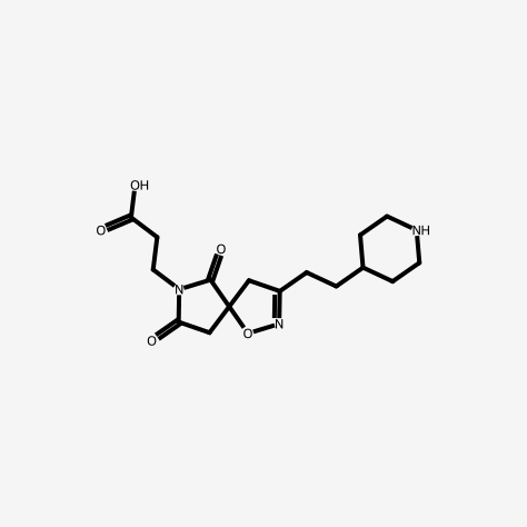 O=C(O)CCN1C(=O)CC2(CC(CCC3CCNCC3)=NO2)C1=O